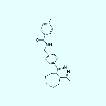 CC1=NN=C(c2ccc(CNC(=O)c3ccc(C)cc3)cc2)C2CCCCCCC12